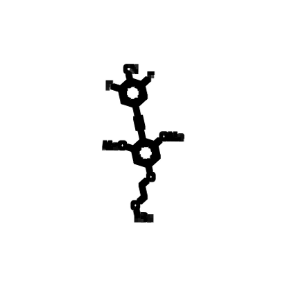 CCCCOCCOc1cc(OC)c(C#Cc2cc(F)c(C#N)c(F)c2)c(OC)c1